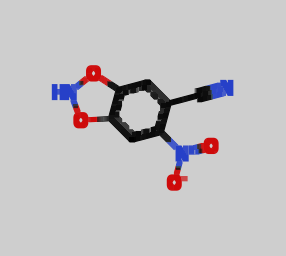 N#Cc1cc2c(cc1[N+](=O)[O-])ONO2